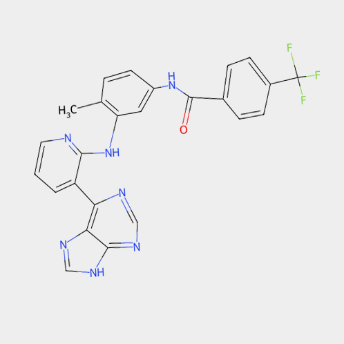 Cc1ccc(NC(=O)c2ccc(C(F)(F)F)cc2)cc1Nc1ncccc1-c1ncnc2[nH]cnc12